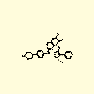 Cn1nnc(Cn2c(=O)c(Br)cc3cnc(Nc4ccc(C5CCNCC5)cc4)nc32)c1-c1ccncc1